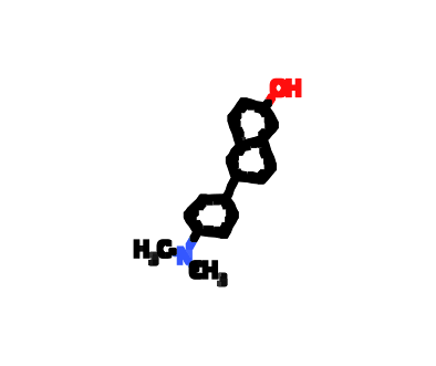 CN(C)c1ccc(-c2ccc3cc(O)ccc3c2)cc1